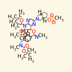 C=C(O/C(=N\C)c1ccc(CN(C)C(=O)OC(C)(C)C)cc1)c1nc(N2C[C@@H]3CCC(OS(C)(=O)=O)[C@@H]3C2)cnc1N(C(=C)OC(C)(C)C)C(=O)OC(C)(C)C